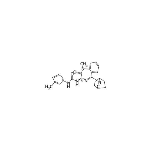 Cc1cccc(NC(=O)N[C@@H]2N=C(N3CC4CCC3CC4)c3ccccc3N(C)C2=O)c1